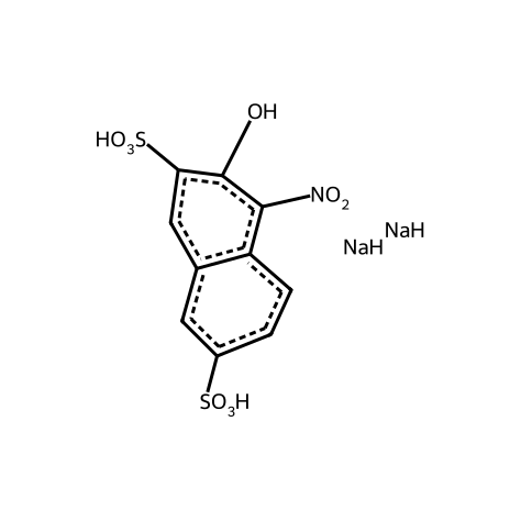 O=[N+]([O-])c1c(O)c(S(=O)(=O)O)cc2cc(S(=O)(=O)O)ccc12.[NaH].[NaH]